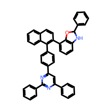 c1ccc(-c2cc(-c3ccc(-c4c(-c5cccc6c5OC(c5ccccc5)N6)ccc5ccccc45)cc3)nc(-c3ccccc3)n2)cc1